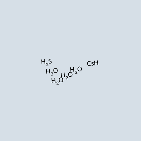 O.O.O.O.S.[CsH]